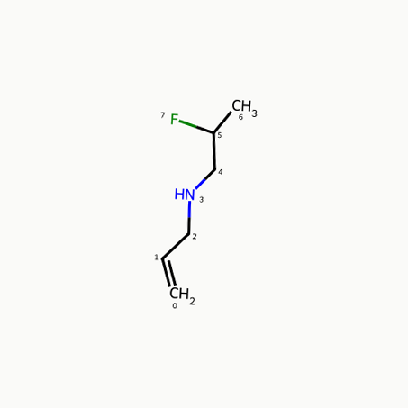 C=CCNCC(C)F